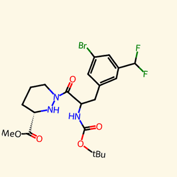 COC(=O)[C@@H]1CCCN(C(=O)C(Cc2cc(Br)cc(C(F)F)c2)NC(=O)OC(C)(C)C)N1